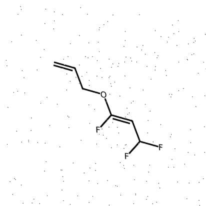 C=CCOC(F)=CC(F)F